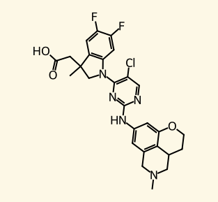 CN1Cc2cc(Nc3ncc(Cl)c(N4CC(C)(CC(=O)O)c5cc(F)c(F)cc54)n3)cc3c2C(CCO3)C1